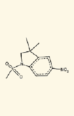 CC1(C)CN(S(C)(=O)=O)c2ccc([N+](=O)[O-])cc21